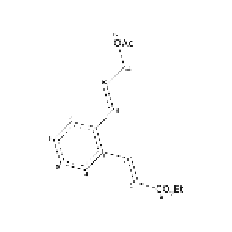 CCOC(=O)/C=C/c1ccccc1/C=C/COC(C)=O